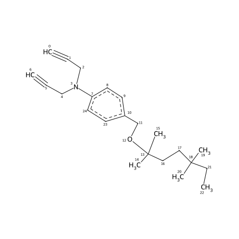 C#CCN(CC#C)c1ccc(COC(C)(C)CCC(C)(C)CC)cc1